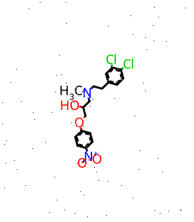 CN(CCc1ccc(Cl)c(Cl)c1)CC(O)COc1ccc([N+](=O)[O-])cc1